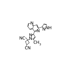 Cc1cc(-c2nc(-c3cc[nH]n3)cc3ncccc23)nn1C1(CC#N)CC(C#N)C1